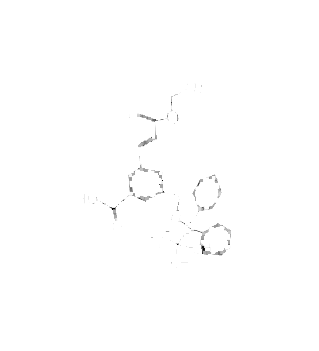 CCOC(=O)C=Cc1cc(CO[Si](c2ccccc2)(c2ccccc2)C(C)(C)C)cc(C(=O)O)c1